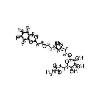 NS(=O)(=O)CC[C@H]1O[C@H](OCCc2cn(CCOCCC(=O)Oc3c(F)c(F)c(F)c(F)c3F)nn2)[C@@H](O)[C@@H](O)[C@@H]1O